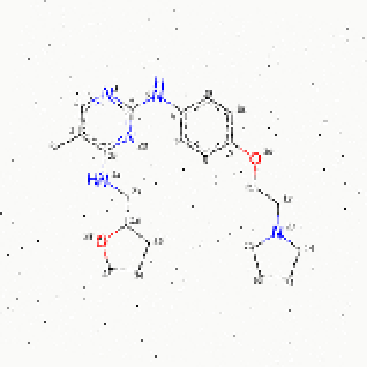 Cc1cnc(Nc2ccc(OCCN3CCCC3)cc2)nc1NCC1CCCO1